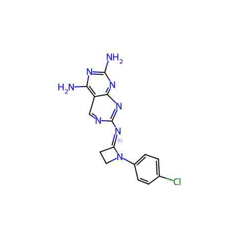 Nc1nc(N)c2cnc(/N=C3\CCN3c3ccc(Cl)cc3)nc2n1